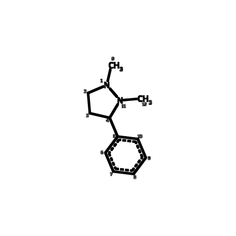 CN1CCC(c2ccccc2)N1C